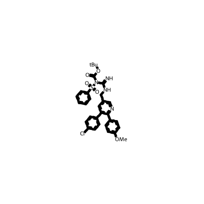 COc1ccc(-c2ncc(CNC(=N)N(C(=O)OC(C)(C)C)S(=O)(=O)c3ccccc3)cc2-c2ccc(Cl)cc2)cc1